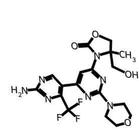 CC1(CO)COC(=O)N1c1cc(-c2cnc(N)nc2C(F)(F)F)nc(N2CCOCC2)n1